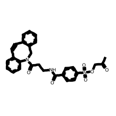 CC(=O)COS(=O)(=O)c1ccc(C(=O)NCCC(=O)N2Cc3ccccc3C#Cc3ccccc32)cc1